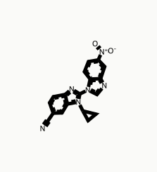 N#Cc1ccc2nc(-n3cnc4cc([N+](=O)[O-])ccc43)n(C3CC3)c2c1